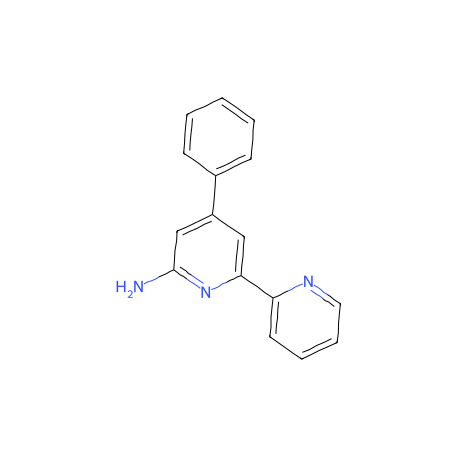 Nc1cc(-c2ccccc2)cc(-c2ccccn2)n1